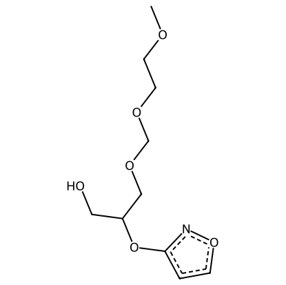 COCCOCOCC(CO)Oc1ccon1